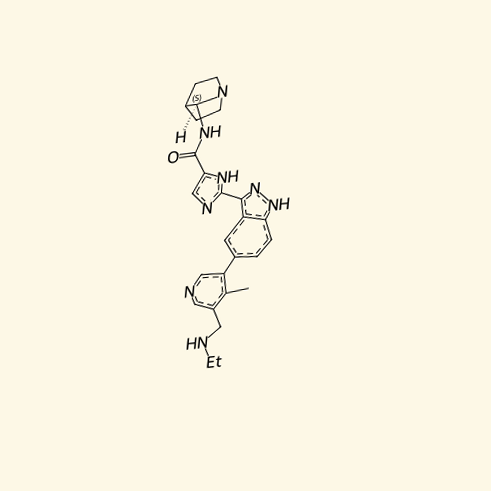 CCNCc1cncc(-c2ccc3[nH]nc(-c4ncc(C(=O)N[C@@H]5CN6CCC5CC6)[nH]4)c3c2)c1C